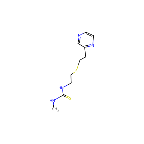 CNC(=S)NCCSCCc1cnccn1